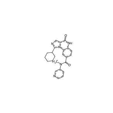 CN(C(=O)c1ccc2[nH]c(=O)c3cnc(C4CCCCC4)n3c2c1)c1cccnc1